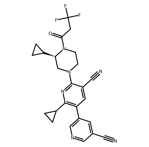 N#Cc1cncc(-c2cc(C#N)c(N3CCN(C(=O)CC(F)(F)F)[C@H](C4CC4)C3)nc2C2CC2)c1